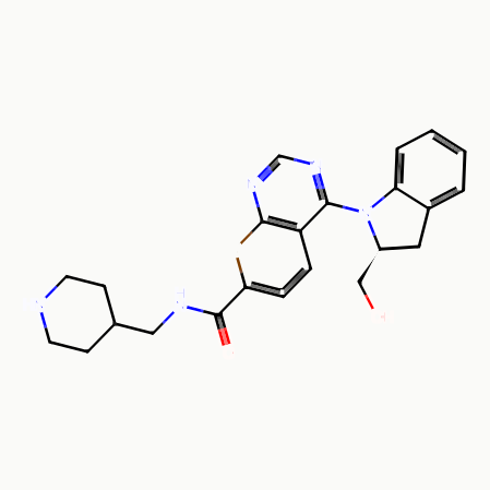 O=C(NCC1CCNCC1)C1=C=Cc2c(ncnc2N2c3ccccc3C[C@H]2CO)S1